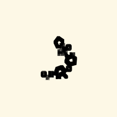 Cc1nc([N+](=O)[O-])ccc1Oc1ccnc(NC(=O)N2CCCC2)c1